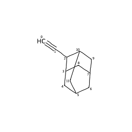 C#CC1C2CC3CC(C2)CC1C3